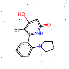 CCc1c(O)cc(=O)[nH]c1-c1ccccc1N1CCCC1